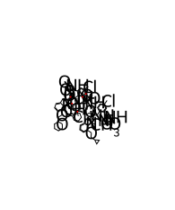 C[N+]1(C)C(C(=O)N(c2ccc(Cl)cc2-c2noc(=O)[nH]2)c2ccc(Cl)cc2-c2noc(=O)[nH]2)=CC2=CC=CC(OCC3CCCCC3)(OCC3CCCCO3)C21.Cn1c(C(=O)Nc2ccc(Cl)cc2-c2noc(=O)[nH]2)cc2cccc(OCC3CC3)c21